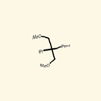 CCCC(C)C(COC)(COC)C(C)C